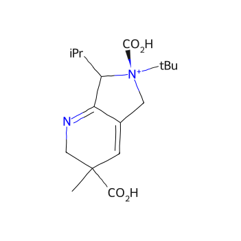 CC(C)C1C2=NCC(C)(C(=O)O)C=C2C[N@@+]1(C(=O)O)C(C)(C)C